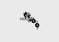 C[C@@]12C[C@@H]1N(C(=O)CNC(=O)c1ccc(Oc3ccc(F)cc3)cc1)[C@H](C(=O)O)C2